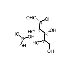 O=C[C@H](O)[C@@H](O)[C@H](O)[C@H](O)CO.OB(O)O